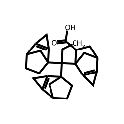 CCC(C12CCC(C1)C1=C2C1)(C12CCC(C1)C1=C2C1)C12CC(CC1C(=O)O)C1=C2C1